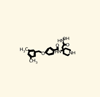 Cc1cc(C)cc(COc2ccc(C(=O)NC3(CC(=O)NO)CCNCC3)cc2)c1